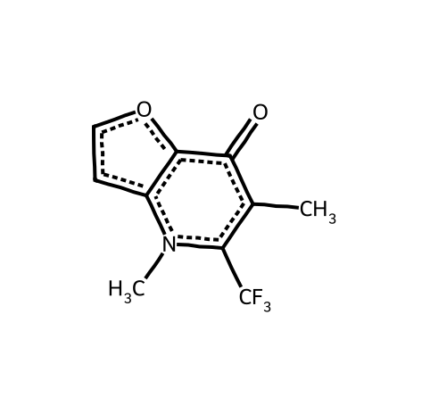 Cc1c(C(F)(F)F)n(C)c2ccoc2c1=O